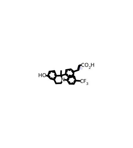 CC1(c2ccc(/C=C/C(=O)O)cc2)c2ccc(O)cc2CCN1c1ccc(C(F)(F)F)cc1